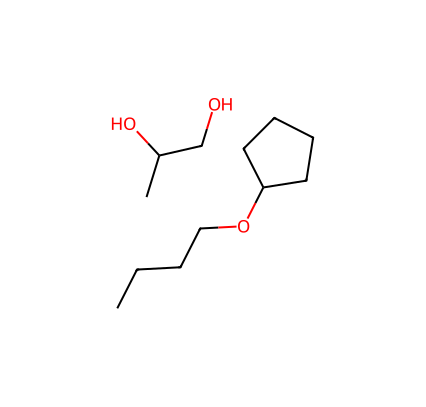 CC(O)CO.CCCCOC1CCCC1